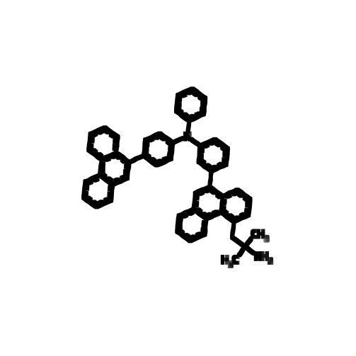 CC(C)(N)Cc1cccc2c(-c3cccc(N(c4ccccc4)c4ccc(-c5cc6ccccc6c6ccccc56)cc4)c3)cc3ccccc3c12